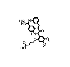 COc1cc(OCCCC(=O)O)c(C(Nc2ccc(C(=N)NO)cc2)C(=O)NCc2ccccc2)cc1OC